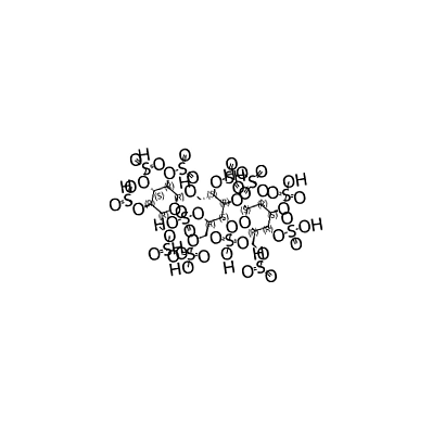 O=[SH](=O)OC[C@H]1O[C@@H](OC[C@H](O[SH](=O)=O)[C@@H](O[C@@H]2O[C@H](CO[SH](=O)=O)[C@@H](OS(=O)(=O)O)[C@H](OS(=O)(=O)O)[C@H]2OS(=O)(=O)O)[C@H](OS(=O)(=O)O)[C@@H](COS(=O)(=O)O)OS(=O)(=O)O)[C@H](O[SH](=O)=O)[C@@H](O[SH](=O)=O)[C@@H]1O[SH](=O)=O